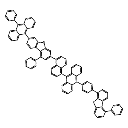 c1ccc(-c2c3ccccc3c(-c3ccc4c(c3)sc3cc(-c5cccc6c(-c7c8ccccc8c(-c8ccc(-c9cccc%10c9sc9cccc(-c%11ccccc%11)c9%10)cc8)c8ccccc78)cccc56)cc(-c5ccccc5)c34)c3ccccc23)cc1